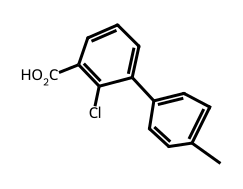 Cc1ccc(-c2cccc(C(=O)O)c2Cl)cc1